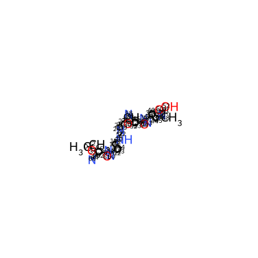 CC(C)Oc1ccc(-c2nc(-c3cccc4c3CCC4NCCN3CCC(CC(C)Oc4ccc(-c5nc(-c6cccc7c6CC[C@@H]7N(C)C(=O)CO)no5)cc4C#N)C3)no2)cc1C#N